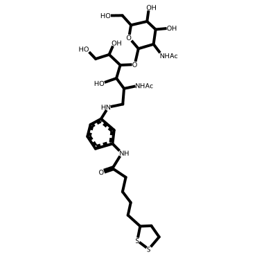 CC(=O)NC(CNc1cccc(NC(=O)CCCCC2CCSS2)c1)C(O)C(OC1OC(CO)C(O)C(O)C1NC(C)=O)C(O)CO